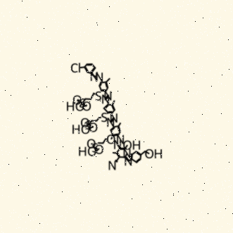 Cc1cc(N=Nc2cc(SCCCS(=O)(=O)O)c(N=Nc3cc(OCCCS(=O)(=O)O)c(N=Nc4c(C)c(C#N)c5nc6ccc(CO)cc6n5c4O)cc3C)cc2C)c(SCCCS(=O)(=O)O)cc1N=Nc1cccc(Cl)c1